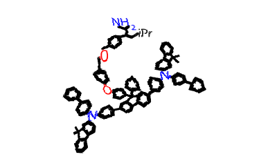 CC(C)CC(c1ccc(COCc2ccc(Oc3ccc(C4(c5ccccc5)c5cc(-c6ccc(N(c7ccc(-c8ccccc8)cc7)c7ccc8c(c7)C(C)(C)c7ccccc7-8)cc6)ccc5-c5ccc(-c6ccc(N(c7ccc(-c8ccccc8)cc7)c7ccc8c(c7)C(C)(C)c7ccccc7-8)cc6)cc54)cc3)cc2)cc1)C(C)CN